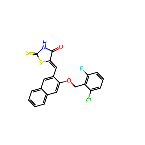 O=C1NC(=S)S/C1=C\c1cc2ccccc2cc1OCc1c(F)cccc1Cl